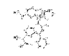 CC(C(=O)O)c1cccc(C(=O)c2ccccc2)c1.COc1ccc2c(c1)[C@@]13CCCCC1[C@@H](C2)N(C)CC3